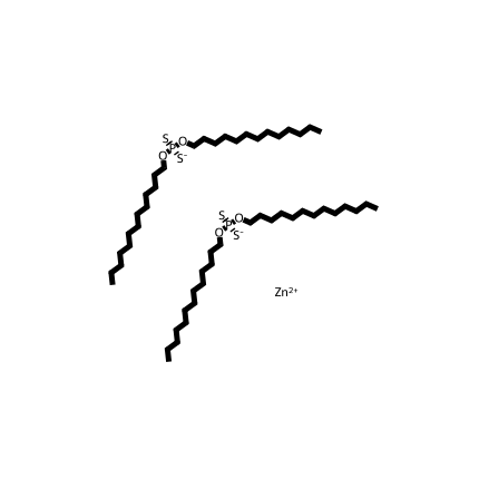 CCCCCCCCCCCCCOP(=S)([S-])OCCCCCCCCCCCCC.CCCCCCCCCCCCCOP(=S)([S-])OCCCCCCCCCCCCC.[Zn+2]